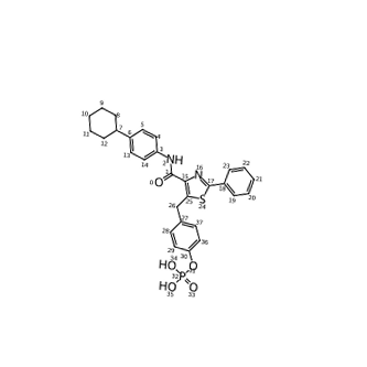 O=C(Nc1ccc(C2CCCCC2)cc1)c1nc(-c2ccccc2)sc1Cc1ccc(OP(=O)(O)O)cc1